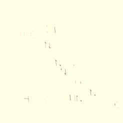 CSc1ccc(N(C=O)N2CCN(C(C)C)CC2)c(C(=O)Nc2ccc(Cl)cn2)c1